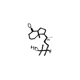 C[C@H](CCC(C)(F)C(C)(C)O)C1CCC2C(=O)CCCC21C